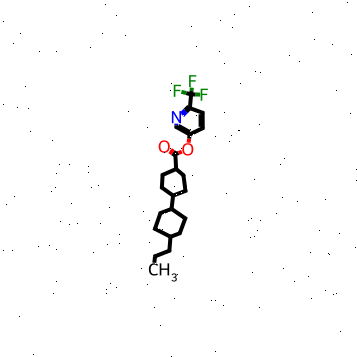 CCCC1CCC(C2CCC(C(=O)Oc3ccc(C(F)(F)F)nc3)CC2)CC1